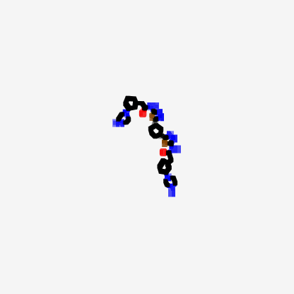 O=C(Cc1cccc(N2CCNCC2)c1)Nc1nnc([C@H]2CCC[C@H](c3nnc(NC(=O)Cc4cccc(N5CCNCC5)c4)s3)C2)s1